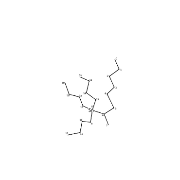 CCCC[CH]C[CH](C)[Sn]([CH2]CCC)([CH2]CCC)[CH2]CCC